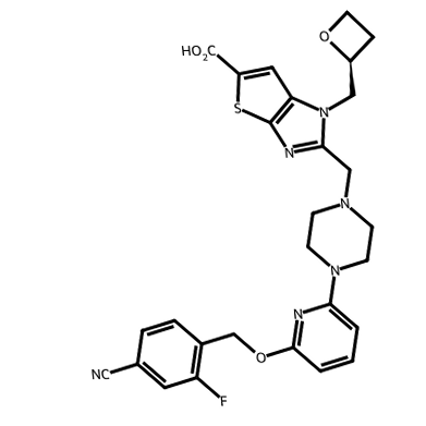 N#Cc1ccc(COc2cccc(N3CCN(Cc4nc5sc(C(=O)O)cc5n4C[C@@H]4CCO4)CC3)n2)c(F)c1